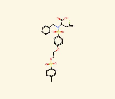 C=C(F)CC(C(=O)O)N(Cc1ccccc1)S(=O)(=O)c1ccc(OCCOS(=O)(=O)c2ccc(C)cc2)cc1